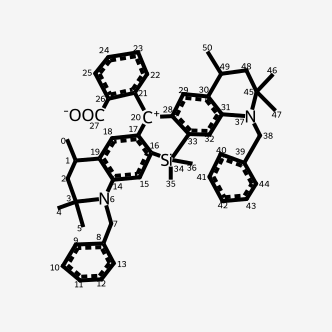 CC1CC(C)(C)N(Cc2ccccc2)c2cc3c(cc21)[C+](c1ccccc1C(=O)[O-])c1cc2c(cc1[Si]3(C)C)N(Cc1ccccc1)C(C)(C)CC2C